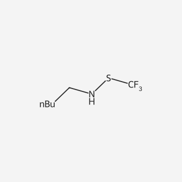 CCCCCNSC(F)(F)F